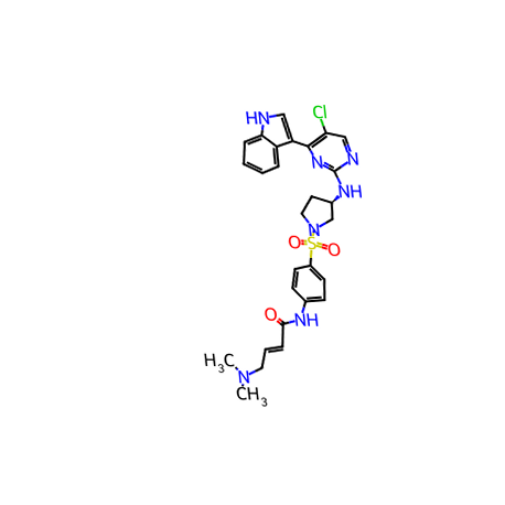 CN(C)C/C=C/C(=O)Nc1ccc(S(=O)(=O)N2CC[C@@H](Nc3ncc(Cl)c(-c4c[nH]c5ccccc45)n3)C2)cc1